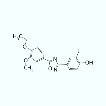 CCOc1ccc(-c2nc(-c3ccc(O)c(I)c3)no2)cc1OC